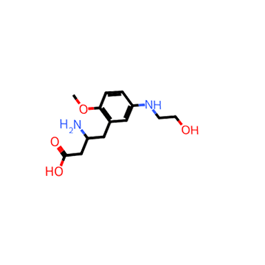 COc1ccc(NCCO)cc1CC(N)CC(=O)O